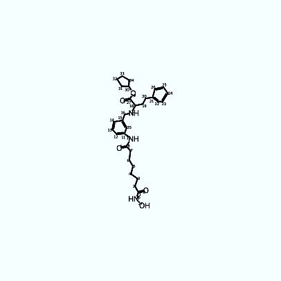 O=C(CCCCCCC(=O)Nc1cccc(CNC(CCc2ccccc2)C(=O)OC2CCCC2)c1)NO